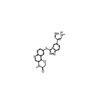 CN/C=C(\C=N)c1ccc2nnc(Sc3ccc4ncc5c(c4c3)OCC(=O)N5C)n2c1